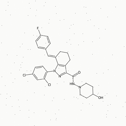 O=C(NN1CCC(O)CC1)c1nn(-c2ccc(Cl)cc2Cl)c2c1CCC/C2=C\c1ccc(F)cc1